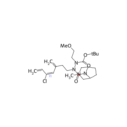 C=C/C(Cl)=C\C(=C)CCN(C(=O)N1C2CCC1CN(C)C2)N(CCOC)C(=O)OC(C)(C)C